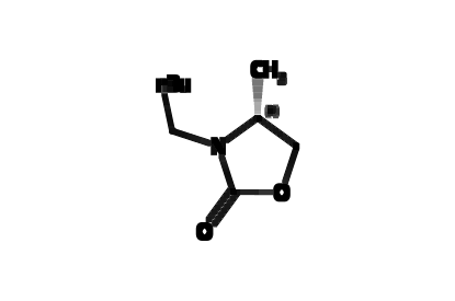 CCCCCN1C(=O)OC[C@H]1C